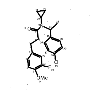 COc1ccc(CCC(=O)N(C2CC2)C(C)c2ccc(Cl)cc2)cc1F